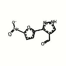 O=Cc1c[nH]nc1-c1ccc([N+](=O)[O-])o1